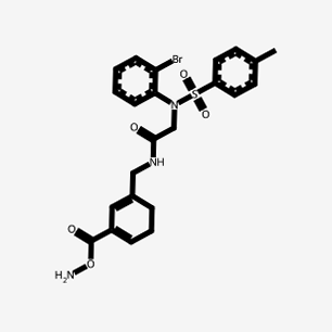 Cc1ccc(S(=O)(=O)N(CC(=O)NCC2=CC(C(=O)ON)=CCC2)c2ccccc2Br)cc1